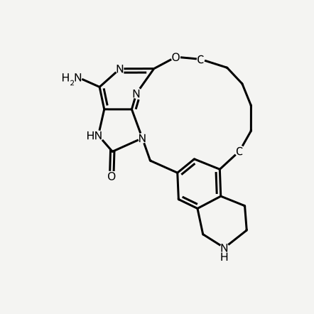 Nc1nc2nc3c1[nH]c(=O)n3Cc1cc(c3c(c1)CNCC3)CCCCCCO2